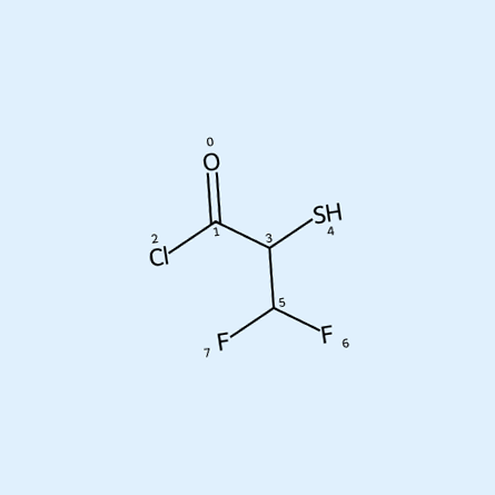 O=C(Cl)C(S)C(F)F